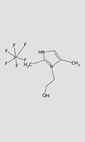 Cc1c[nH]c(C)[n+]1CCO.F[P-](F)(F)(F)(F)F